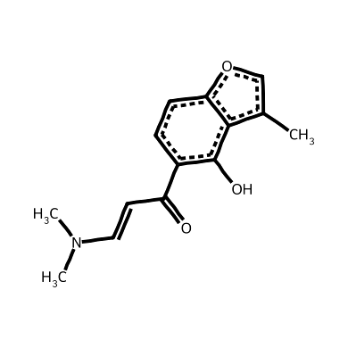 Cc1coc2ccc(C(=O)/C=C/N(C)C)c(O)c12